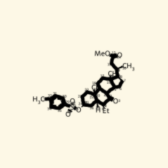 CC[C@H]1C(=O)C2C3CC[C@H]([C@H](C)CC(=O)OC)[C@@]3(C)CCC2[C@@]2(C)CC[C@@H](OS(=O)(=O)c3ccc(C)cc3)C[C@@H]12